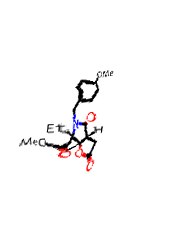 CC[C@@]1(C(=O)OC)N(Cc2ccc(OC)cc2)C(=O)[C@@H]2CC(=O)O[C@@]21C